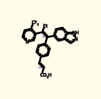 CC/C(=C(/c1ccc(/C=C/C(=O)O)cc1)c1ccc2[nH]ncc2c1)c1cnccc1C(F)(F)F